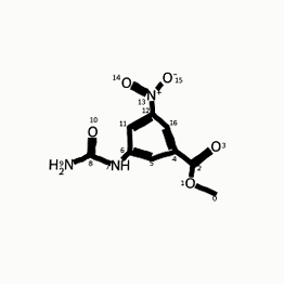 COC(=O)c1cc(NC(N)=O)cc([N+](=O)[O-])c1